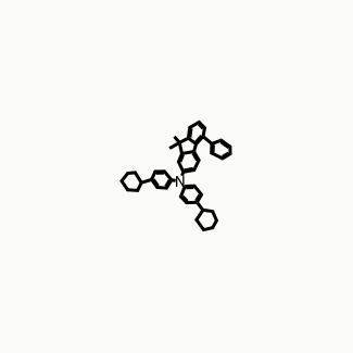 CC1(C)c2cc(N(c3ccc(C4CCCCC4)cc3)c3ccc(C4CCCCC4)cc3)ccc2-c2c(-c3ccccc3)cccc21